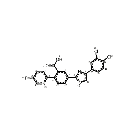 O=C(O)c1cc(-c2nc(-c3ccc(Cl)c(Cl)c3)cs2)ccc1-c1ccc(F)cn1